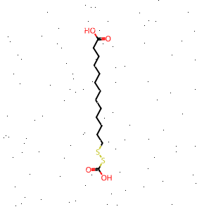 O=C(O)CCCCCCCCCCCCSSC(=O)O